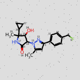 Cc1cc(-c2ccc(CF)cc2)nn1C1C(=O)NC(C)(C2CC2)C1O